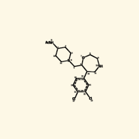 CC(=O)NC1CCN(CC2OCCNCC2c2ccc(Cl)c(Cl)c2)CC1